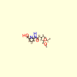 CCOC(COC)CC(CC)CC(=O)Nc1cccc(CO)n1